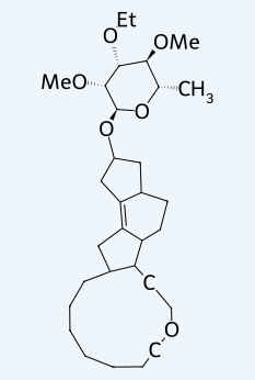 CCO[C@@H]1[C@@H](OC)[C@H](C)O[C@@H](OC2CC3=C4CC5CCCCCCCOCCC5C4CCC3C2)[C@@H]1OC